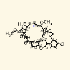 CCCc1cc(Cl)ccc1C1COc2ccc3nc2N(C1)CC1CCC1C(OC)/C=C/CC(C)C(CCOC)S(=O)(=O)NC3=O